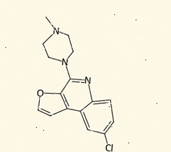 CN1CCN(c2nc3ccc(Cl)cc3c3ccoc23)CC1